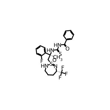 C[C@@](CS1(=O)=N[C@H](C(F)(F)F)CCCN1)(NC(=S)NC(=O)c1ccccc1)c1ccccc1F